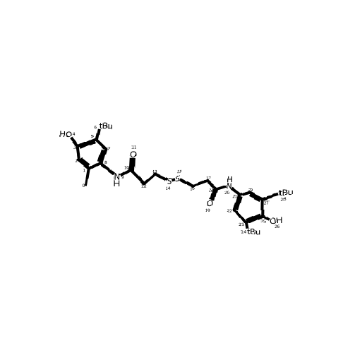 Cc1cc(O)c(C(C)(C)C)cc1NC(=O)CCSSCCC(=O)Nc1cc(C(C)(C)C)c(O)c(C(C)(C)C)c1